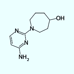 Nc1ccnc(N2CCCC(O)CC2)n1